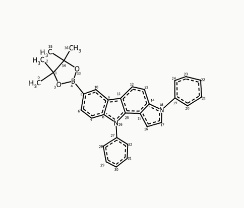 CC1(C)OB(c2ccc3c(c2)c2ccc4c(ccn4-c4ccccc4)c2n3-c2ccccc2)OC1(C)C